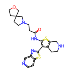 O=C(CCN1CCC2(CCOC2)C1)Nc1sc2c(c1-c1nc3cnccc3s1)CCNC2